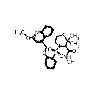 COc1cc(COc2ccccc2S(=O)(=O)N2CCSC(C)(C)C2C(=O)NO)c2ccccc2n1